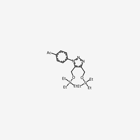 CC[Si](CC)(CC)OCc1nnn(-c2ccc(C(C)=O)cc2)c1CO[Si](CC)(CC)CC